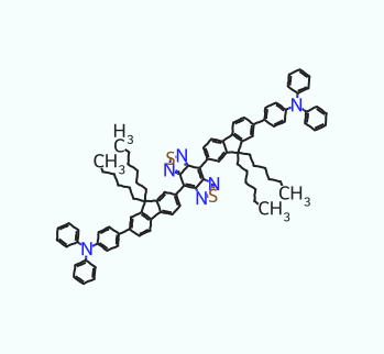 CCCCCCC1(CCCCCC)c2cc(-c3ccc(N(c4ccccc4)c4ccccc4)cc3)ccc2-c2ccc(-c3c4c(c(-c5ccc6c(c5)C(CCCCCC)(CCCCCC)c5cc(-c7ccc(N(c8ccccc8)c8ccccc8)cc7)ccc5-6)c5nsnc35)N=S=N4)cc21